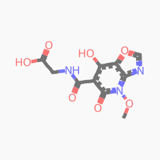 COn1c(=O)c(C(=O)NCC(=O)O)c(O)c2ocnc21